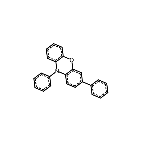 c1ccc(-c2ccc3c(c2)Oc2ccccc2N3c2ccccc2)cc1